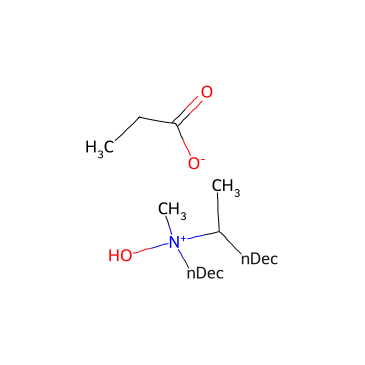 CCC(=O)[O-].CCCCCCCCCCC(C)[N+](C)(O)CCCCCCCCCC